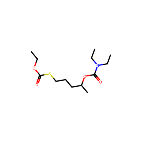 CCOC(=O)SCCCC(C)OC(=O)N(CC)CC